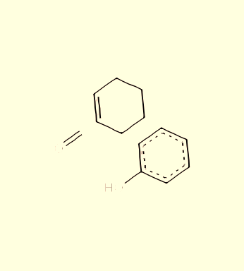 C1=CCCCC1.C=O.Oc1ccccc1